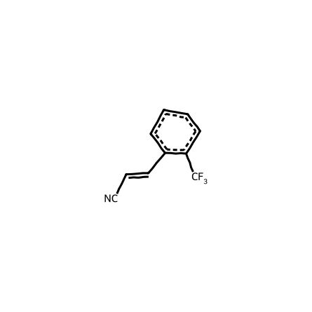 N#CC=Cc1ccccc1C(F)(F)F